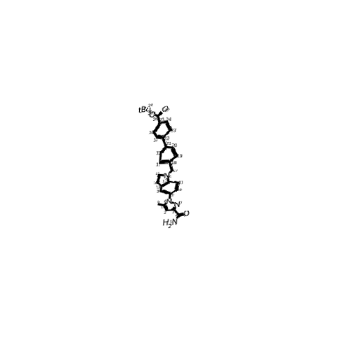 Cc1cc(C(N)=O)nn1-c1ccc2c(ccn2Cc2ccc(-c3ccc(C(=O)OC(C)(C)C)cc3)cc2)c1